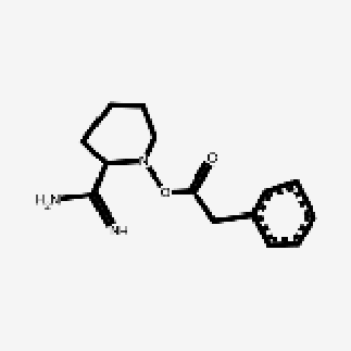 N=C(N)C1CCCCN1OC(=O)Cc1ccccc1